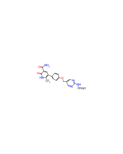 CCCCCCCNc1ncc(COc2ccc(-c3cc(C(N)=O)c(=O)[nH]c3C(F)(F)F)cc2)cn1